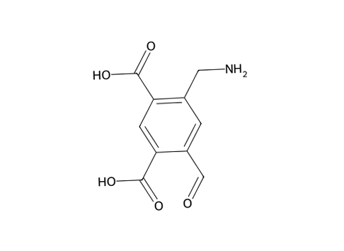 NCc1cc(C=O)c(C(=O)O)cc1C(=O)O